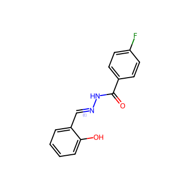 O=C(N/N=C/c1ccccc1O)c1ccc(F)cc1